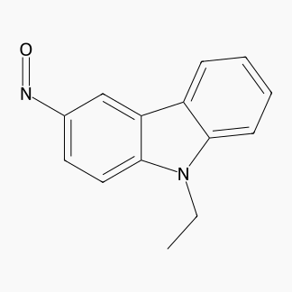 CCn1c2ccccc2c2cc(N=O)ccc21